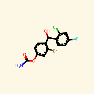 NC(=O)Oc1ccc(C(O)c2ccc(F)cc2Cl)c(Br)c1